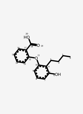 CCCCc1c(O)cccc1Oc1ccccc1C(=O)O